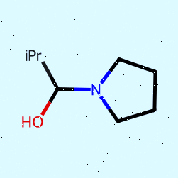 CC(C)C(O)N1CCCC1